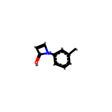 Cc1cccc(N2C=CC2=O)c1